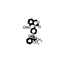 CCC(C)(C)C1(S(=O)(=O)N2CCC(N3C(=O)OCc4cccc(OC)c43)CC2)C=CC=CC1